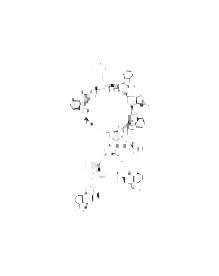 C[C@@H](O)[C@@H]1NC(=O)[C@H](CCCCN)NC(=O)[C@@H](Cc2c[nH]c3ccccc23)NC(=O)[C@H](Cc2ccncc2)NC(=O)[C@H](Cc2ccccc2)NC(=O)[C@H](CCCNC(=N)N)NC(=O)[C@H](NC[C@H](CCCCNC(=O)CSC[C@@H]2C[C@@H]3c4cccc5[nH]cc(c45)C[C@H]3N(C)C2)NC(=O)CSC[C@@H]2C[C@@H]3c4cccc5[nH]cc(c45)C[C@H]3N(C)C2)CCCCNC(=O)[C@H](Cc2ccccc2)NC1=O